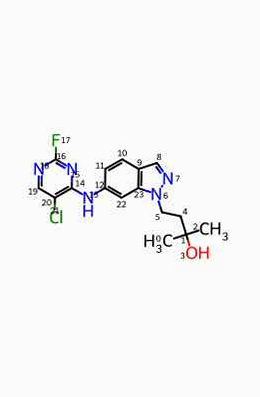 CC(C)(O)CCn1ncc2ccc(Nc3nc(F)ncc3Cl)cc21